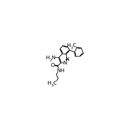 CCCNC(=O)c1nnc2c(-c3ccccc3C)cccc2c1N